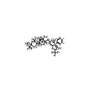 C[C@H](CC(C[C@H](O)C(F)(F)F)S(=O)(=O)c1ccccc1)[C@H]1CC[C@H]2[C@@H]3CC[C@H]4C[C@](O)(C(F)(F)F)CC[C@]4(C)[C@H]3CC[C@]12C